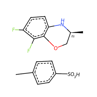 C[C@H]1COc2c(ccc(F)c2F)N1.Cc1ccc(S(=O)(=O)O)cc1